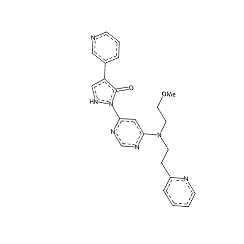 COCCN(CCc1ccccn1)c1cc(-n2[nH]cc(-c3cccnc3)c2=O)ncn1